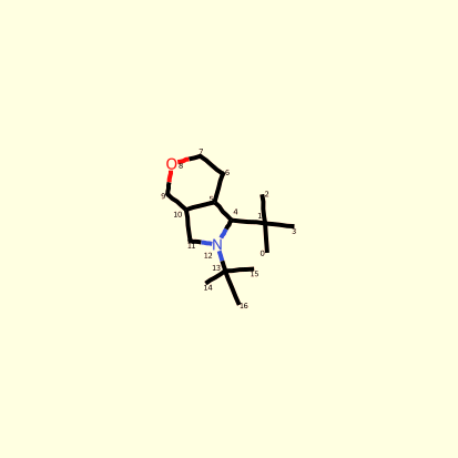 CC(C)(C)C1C2CCOCC2CN1C(C)(C)C